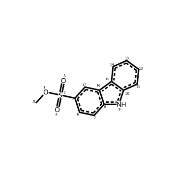 COS(=O)(=O)c1ccc2[nH]c3ccccc3c2c1